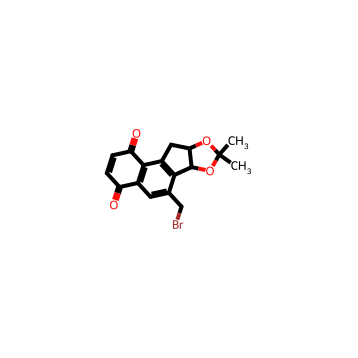 CC1(C)OC2Cc3c4c(cc(CBr)c3C2O1)C(=O)C=CC4=O